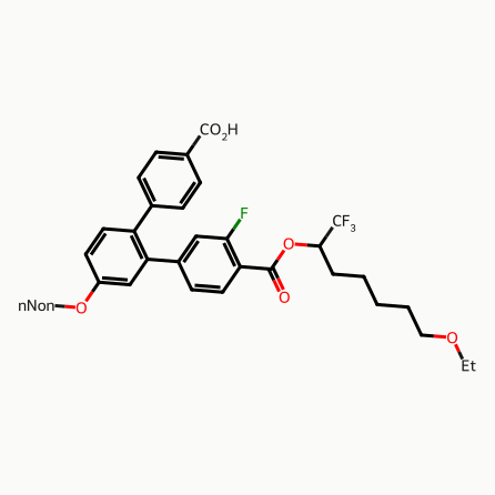 CCCCCCCCCOc1ccc(-c2ccc(C(=O)O)cc2)c(-c2ccc(C(=O)OC(CCCCCOCC)C(F)(F)F)c(F)c2)c1